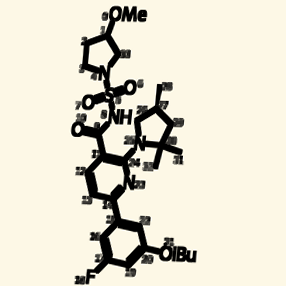 COC1CCN(S(=O)(=O)NC(=O)c2ccc(-c3cc(F)cc(OCC(C)C)c3)nc2N2C[C@@H](C)CC2(C)C)C1